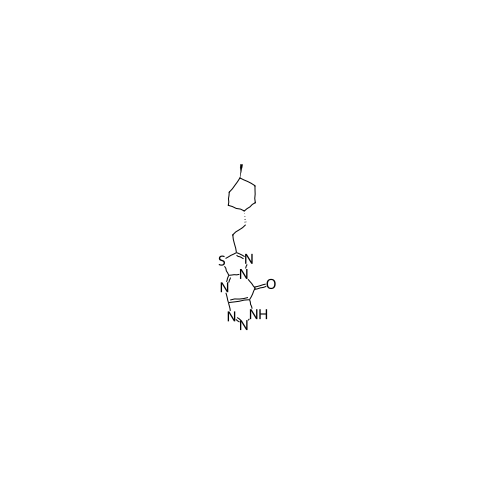 C[C@H]1CC[C@H](CCc2nn3c(=O)c4[nH]nnc4nc3s2)CC1